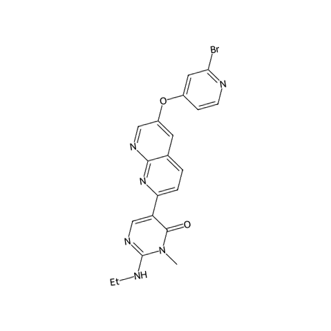 CCNc1ncc(-c2ccc3cc(Oc4ccnc(Br)c4)cnc3n2)c(=O)n1C